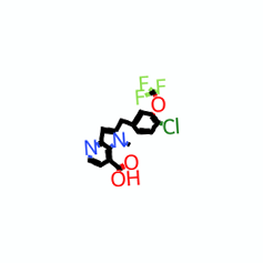 Cn1c(Cc2ccc(Cl)c(OC(F)(F)F)c2)cc2nccc(C(=O)O)c21